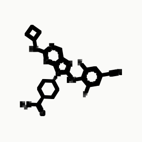 N#Cc1cc(F)c(Nc2nc3cnc(NC4CCC4)nc3n2[C@H]2CC[C@H](C(N)=O)CC2)c(F)c1